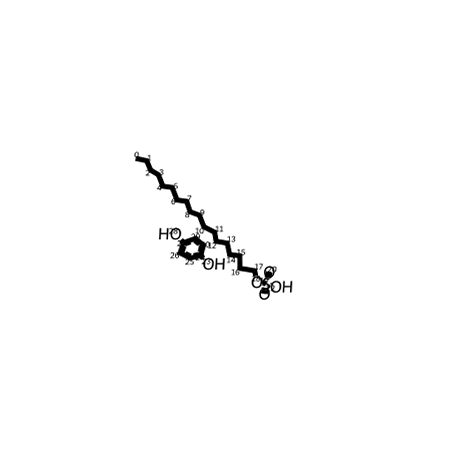 CCCCCCCCCCCCCCCCCCOS(=O)(=O)O.Oc1ccc(O)cc1